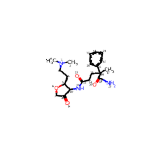 CN(C)CCC1OCC(=O)C1NC(=O)[CH]CC(C)(C(N)=O)c1ccccc1